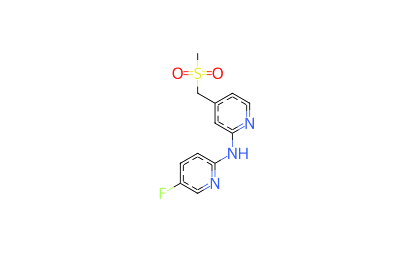 CS(=O)(=O)Cc1ccnc(Nc2ccc(F)cn2)c1